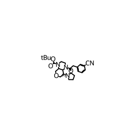 CC(C)(C)OC(=O)N1CCN(C(=O)Cc2cccc(C#N)c2)C2C1COC[C@@H]2N1CCCC1